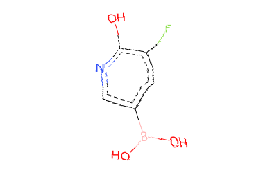 OB(O)c1cnc(O)c(F)c1